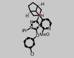 COc1cc(N2C[C@H]3CC[C@@H](C2)C3Nc2nc(Oc3cccc(Cl)c3)n(C(C)C)n2)ccn1